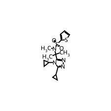 CN(C(C)(C)c1nnc(C2CC2)n1C1CC1)S(=O)(=O)c1cccs1